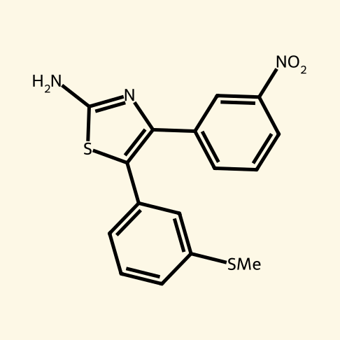 CSc1cccc(-c2sc(N)nc2-c2cccc([N+](=O)[O-])c2)c1